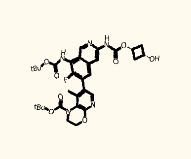 Cc1c(-c2cc3cc(NC(=O)O[C@H]4C[C@@H](O)C4)ncc3c(NC(=O)OC(C)(C)C)c2F)cnc2c1N(C(=O)OC(C)(C)C)CCO2